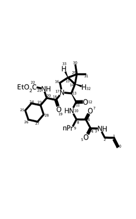 C=CCNC(=O)C(=O)C(CCC)NC(=O)[C@@H]1[C@@H]2[C@H](CN1C(=O)C(NC(=O)OCC)C1CCCCC1)C2(C)C